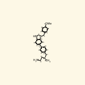 COc1ccc(CN2CNc3ccc(-c4ccc(CN(C)CCN)cc4)cc32)cc1